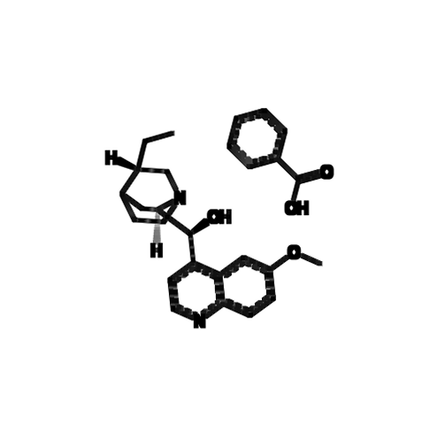 CC[C@@H]1CN2CCC1C[C@@H]2[C@@H](O)c1ccnc2ccc(OC)cc12.O=C(O)c1ccccc1